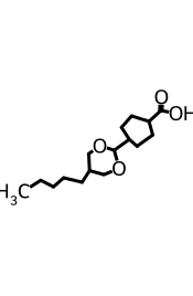 CCCCCC1COC(C2CCC(C(=O)O)CC2)OC1